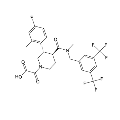 Cc1cc(F)ccc1[C@H]1CN(C(=O)C(=O)O)CC[C@@H]1C(=O)N(C)Cc1cc(C(F)(F)F)cc(C(F)(F)F)c1